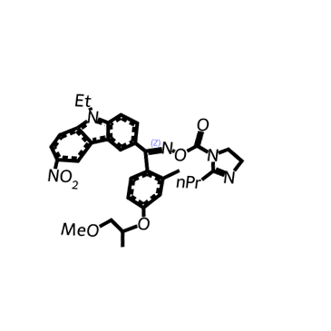 CCCC1=NCCN1C(=O)O/N=C(/c1ccc2c(c1)c1cc([N+](=O)[O-])ccc1n2CC)c1ccc(OC(C)COC)cc1C